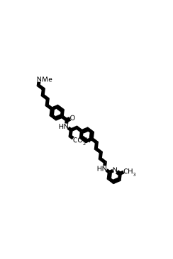 CNCCCCCc1ccc(C(=O)NC(CC(=O)O)Cc2ccc(CCCCCNc3cccc(C)n3)cc2)cc1